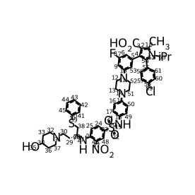 Cc1c(C(=O)O)c(-c2cc(F)cc(N3CCN(c4ccc(NS(=O)(=O)c5ccc(N[C@H](CCN6CCC(O)CC6)CSc6ccccc6)c([N+](=O)[O-])c5)cc4)CC3)c2)c(-c2ccc(Cl)cc2)n1C(C)C